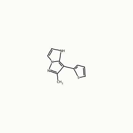 Cc1nn2cc[nH]c2c1-c1cccs1